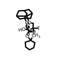 CC1(OC(=O)COC23CC4CC(C2)C(OCC(F)(F)S(=O)(=O)O)C(C4)C3)CCCCC1